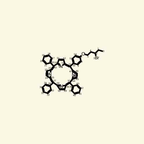 CCC(Br)CCOc1ccc(-c2c3nc(c(-c4ccccc4)c4ccc([nH]4)c(-c4ccccc4)c4nc(c(-c5ccccc5)c5ccc2[nH]5)C=C4)C=C3)cc1